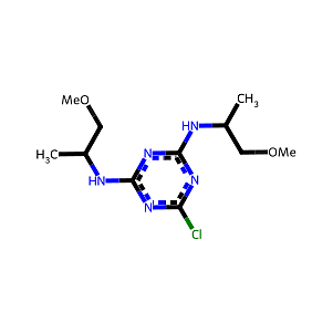 COCC(C)Nc1nc(Cl)nc(NC(C)COC)n1